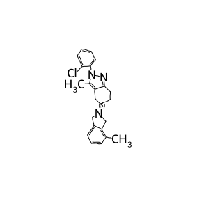 Cc1cccc2c1CN([C@H]1CCc3nn(-c4ccccc4Cl)c(C)c3C1)C2